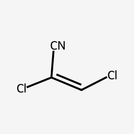 N#C/C(Cl)=C\Cl